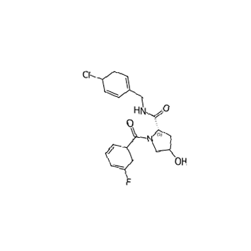 O=C(NCC1=CCC(Cl)C=C1)[C@@H]1CC(O)CN1C(=O)C1C=CC=C(F)C1